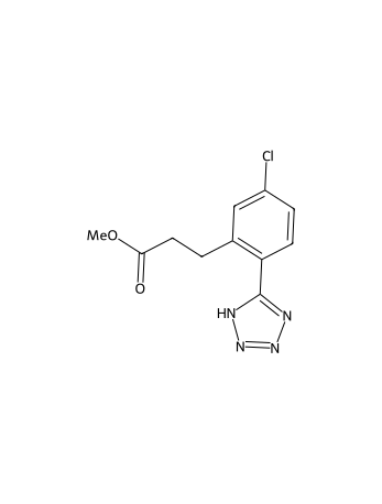 COC(=O)CCc1cc(Cl)ccc1-c1nnn[nH]1